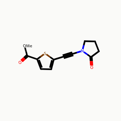 COC(=O)c1ccc(C#CN2CCCC2=O)s1